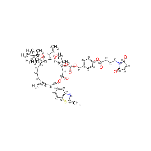 C=CC[C@H]1C(=O)C(C)(C)[C@@H](OC(=O)OCc2ccc(OC(=O)CCCN3C(=O)C=CC3=O)cc2)CC(=O)O[C@H](c2ccc3sc(C)nc3c2)C/C=C(/C)CCC[C@H](C)[C@@H]1O[Si](C)(C)C(C)(C)C